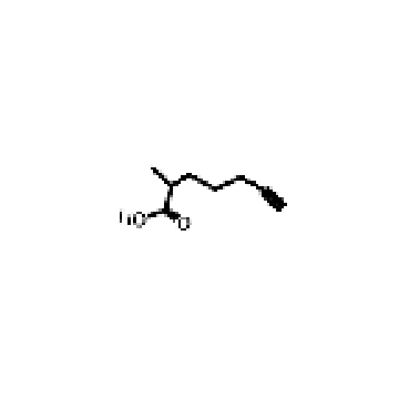 C#CCCCC(C)C(=O)O